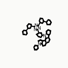 c1ccc(-c2cccc(-c3nc(-c4cccc(-c5ccccc5)c4)nc(-c4cccc(-n5c6ccccc6c6ccc7ccc8c(ccn8-c8ccccc8)c7c65)c4)n3)c2)cc1